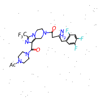 CC(=O)N1CCN(C(=O)c2nc(C(F)(F)F)n3c2CN(C(=O)CC(N)Cc2cc(F)c(F)cc2F)CC3)CC1